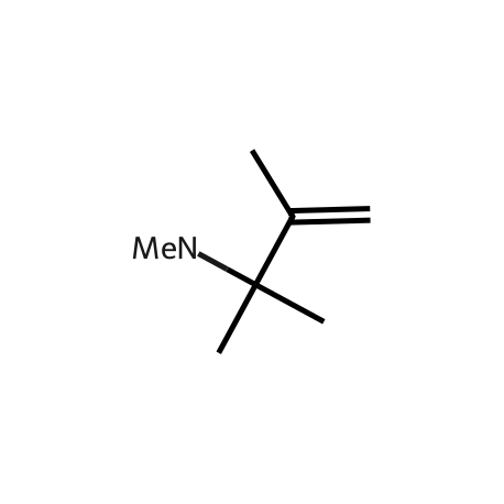 C=C(C)C(C)(C)NC